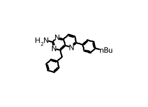 CCCCc1ccc(-c2ccc3nc(N)nc(Cc4ccccc4)c3n2)cc1